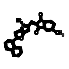 CCn1c(/C=C2/C(=O)c3ccc(C)cc3C2=O)cc2oc(-c3cccc4ccccc34)cc21